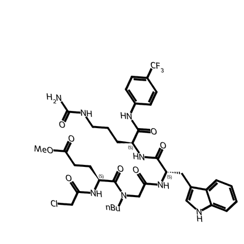 CCCCN(CC(=O)N[C@@H](Cc1c[nH]c2ccccc12)C(=O)N[C@@H](CCCNC(N)=O)C(=O)Nc1ccc(C(F)(F)F)cc1)C(=O)[C@H](CCC(=O)OC)NC(=O)CCl